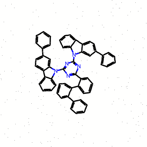 c1ccc(-c2ccc3c4ccccc4n(-c4nc(-c5ccccc5-c5ccccc5-c5ccccc5)nc(-n5c6ccccc6c6ccc(-c7ccccc7)cc65)n4)c3c2)cc1